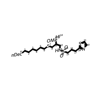 CCCCCCCCCCCCCCCCSCC(CNS(=O)(=O)CCCc1nccs1)OC.I